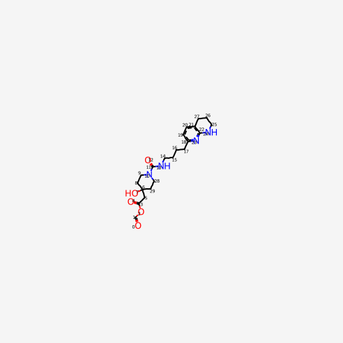 O=COC(=O)CC1(O)CCN(C(=O)NCCCCc2ccc3c(n2)NCCC3)CC1